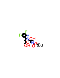 CC(C)(C)OC(=O)N1CC(O)(C(=O)NC(CCCO)c2cc(F)cc(F)c2)C1